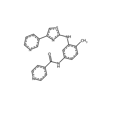 Cc1ccc(NC(=O)c2ccncc2)cc1Nc1nc(-c2cccnc2)cs1